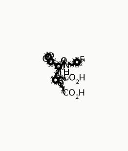 O=C(O)CCCOc1cccc(COc2cc(C(=O)NCCc3ccc(F)cc3)cc(-c3ccc4c(c3)OCCO4)c2)c1CCC(=O)O